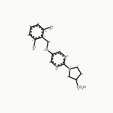 O=C(O)C1CCN(c2ncc(OCc3c(Cl)cccc3Cl)cn2)C1